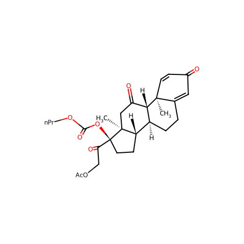 CCCOC(=O)O[C@]1(C(=O)COC(C)=O)CC[C@H]2[C@@H]3CCC4=CC(=O)C=C[C@]4(C)[C@H]3C(=O)C[C@@]21C